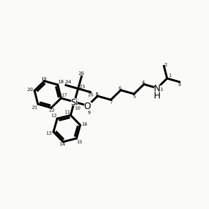 CC(C)NCCCCCO[Si](c1ccccc1)(c1ccccc1)C(C)(C)C